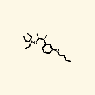 CCCCOc1cccc([C@H](C)[C@H](C)O[Si](CC)(CC)CC)c1